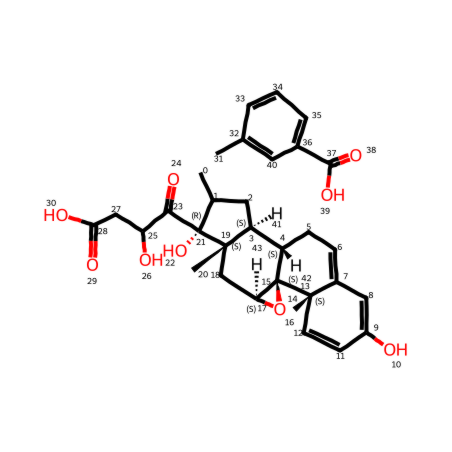 CC1C[C@H]2[C@@H]3CC=C4C=C(O)C=C[C@]4(C)[C@@]34O[C@H]4C[C@]2(C)[C@@]1(O)C(=O)C(O)CC(=O)O.Cc1cccc(C(=O)O)c1